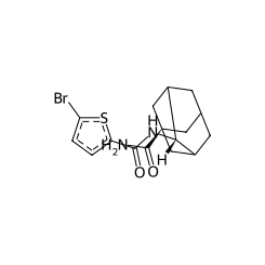 NC(=O)[C@]12CC3CC(C1)[C@@H](NC(=O)c1ccc(Br)s1)C(C3)C2